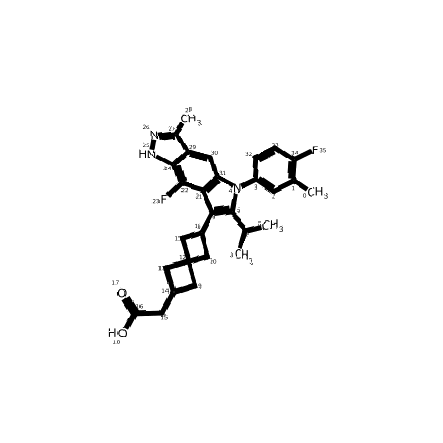 Cc1cc(-n2c(C(C)C)c(C3CC4(CC(CC(=O)O)C4)C3)c3c(F)c4[nH]nc(C)c4cc32)ccc1F